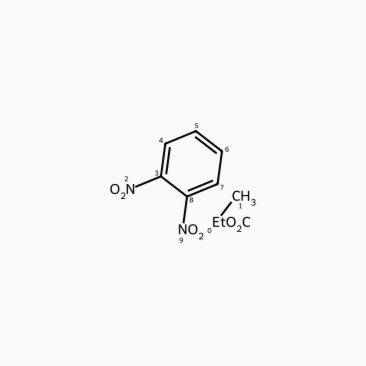 CCOC(C)=O.O=[N+]([O-])c1ccccc1[N+](=O)[O-]